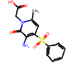 Cc1cc(S(=O)(=O)c2ccccc2)c(N)c(=O)n1CC(=O)O